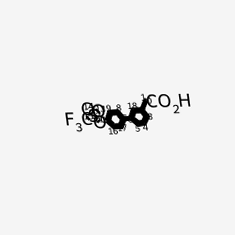 O=C(O)Cc1cccc(-c2ccc(OS(=O)(=O)C(F)(F)F)cc2)c1